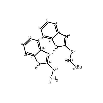 CC(C)(C)NSc1nc2ccccc2o1.NSc1nc2ccccc2o1